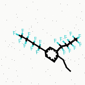 CC[CH]c1ccc(C(F)(F)C(F)(F)C(F)(F)C(F)(F)F)cc1C(F)(F)C(F)(F)C(F)(F)C(F)(F)F